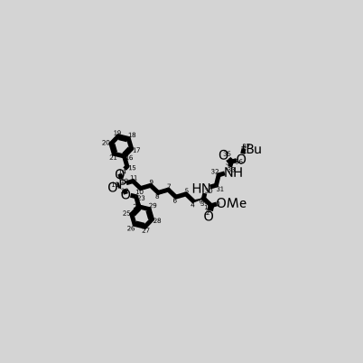 COC(=O)[C@@H](CCCCCCCCP(=O)(OCc1ccccc1)OCc1ccccc1)NCCNC(=O)OC(C)(C)C